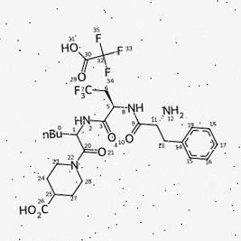 CCCCC(NC(=O)[C@@H](CC(F)(F)F)NC(=O)[C@H](N)Cc1ccccc1)C(=O)N1CCC(C(=O)O)CC1.O=C(O)C(F)(F)F